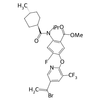 C=C(Br)c1cnc(Oc2cc(C(=O)OC)c(N(C(=O)[C@H]3CC[C@H](C)CC3)C(C)C)cc2F)c(C(F)(F)F)c1